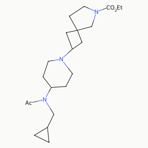 CCOC(=O)N1CCC2(CC(N3CCC(N(CC4CC4)C(C)=O)CC3)C2)C1